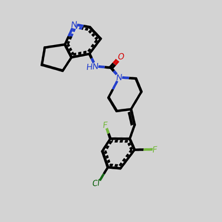 O=C(Nc1ccnc2c1CCC2)N1CCC(=Cc2c(F)cc(Cl)cc2F)CC1